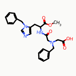 COC(=O)C(Cc1cncn1Cc1ccccc1)NC(=O)CN(CC(=O)O)Cc1ccccc1